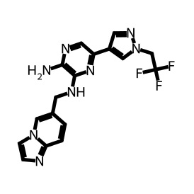 Nc1ncc(-c2cnn(CC(F)(F)F)c2)nc1NCc1ccc2nccn2c1